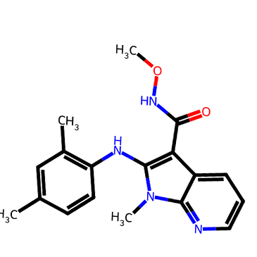 CONC(=O)c1c(Nc2ccc(C)cc2C)n(C)c2ncccc12